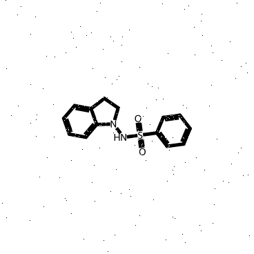 O=S(=O)(NN1CCc2ccccc21)c1ccccc1